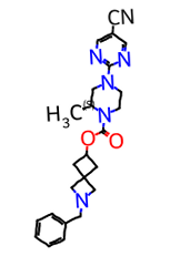 C[C@H]1CN(c2ncc(C#N)cn2)CCN1C(=O)OC1CC2(C1)CN(Cc1ccccc1)C2